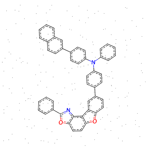 c1ccc(-c2nc3c(ccc4oc5ccc(-c6ccc(N(c7ccccc7)c7ccc(-c8ccc9ccccc9c8)cc7)cc6)cc5c43)o2)cc1